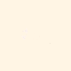 CCn1cc(C(F)(F)F)nc1-c1ccc(CO[Si](C)(C)C(C)(C)C)cc1F